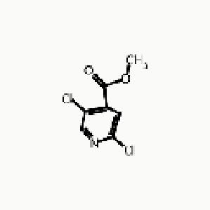 COC(=O)c1cc(Cl)ncc1Cl